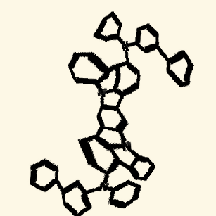 c1c(N(c2ccccc2)c2cccc(-c3ccccc3)c2)c2c3ccccc3n3c4cc5c6ccc(N(c7ccccc7)c7cccc(-c8ccccc8)c7)c7c8ccccc8n(c5cc4c(c#1)c23)c67